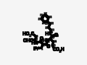 CC(C)CC(C(=O)NC(C=O)CC(=O)O)C(=O)NC(CCC(=O)O)C(=O)NCCCc1ccccc1